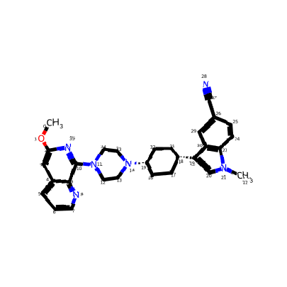 COc1cc2cccnc2c(N2CCN([C@H]3CC[C@@H](c4cn(C)c5ccc(C#N)cc54)CC3)CC2)n1